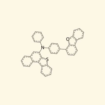 c1ccc(N(c2ccc(-c3cccc4c3oc3ccccc34)cc2)c2cc3ccccc3c3c2sc2ccccc23)cc1